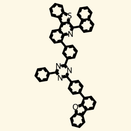 c1ccc(-c2nc(-c3ccc(-c4cccc5c4oc4ccccc45)cc3)nc(-c3cccc(-c4cccc5c4nc(-c4cccc6ccccc46)c4sc6ccccc6c45)c3)n2)cc1